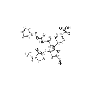 CN[C@H]1CCN(Cc2csc(C#N)c2)C1=O.O=C(Nc1ccc2ccc(S(=O)(=O)O)cc2c1)OCc1ccccc1